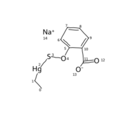 C[CH2][Hg][S]Oc1ccccc1C(=O)[O-].[Na+]